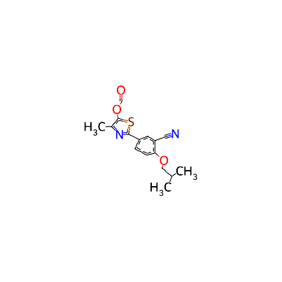 Cc1nc(-c2ccc(OCC(C)C)c(C#N)c2)sc1OC=O